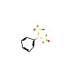 CS(=O)(=O)P(c1ccccc1)S(C)(=O)=O